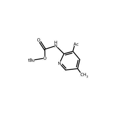 CC(=O)c1cc(C)cnc1NC(=O)OC(C)(C)C